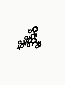 COc1ccccc1C(=O)Cn1c(=O)n(C(C)(C)C(=O)OC(C)(C)C)c(=O)c2c(C)c(-c3ncco3)ccc21